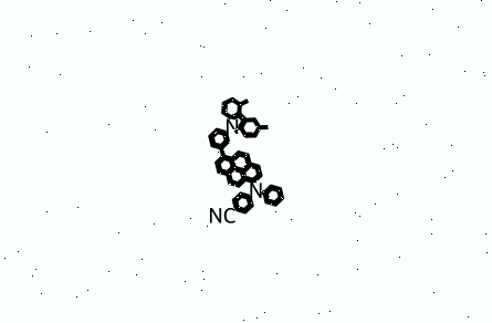 CC1C=Cc2c(c3c(n2-c2cccc(-c4ccc5ccc6c(N(c7ccccc7)c7ccc(C#N)cc7)ccc7ccc4c5c76)c2)C=CCC3C)C1